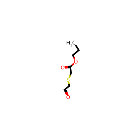 CCCOC(=O)CSC[C]=O